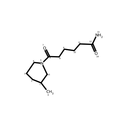 CC1CCCN(C(=O)CCCCC(N)=O)C1